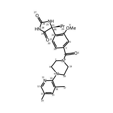 COc1cc(C(=O)N2CCN(c3ncc(C)cc3C)CC2)ccc1[C@@]1(C(C)C)NC(=O)NC1=O